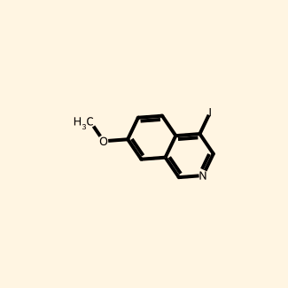 COc1ccc2c(I)cncc2c1